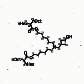 CCCCCCCCC(CCCCCC)C(=O)OCCCCCCN(CCCCCCOC(=O)C(CCCCCC)CCCCCCCC)CC1CC(O)C1